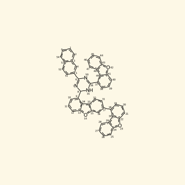 c1ccc2cc(C3=NC(c4cccc5oc6cc(-c7cccc8oc9ccccc9c78)ccc6c45)NC(c4cccc5oc6ccccc6c45)=N3)ccc2c1